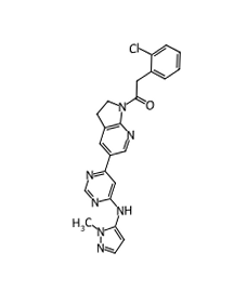 Cn1nccc1Nc1cc(-c2cnc3c(c2)CCN3C(=O)Cc2ccccc2Cl)ncn1